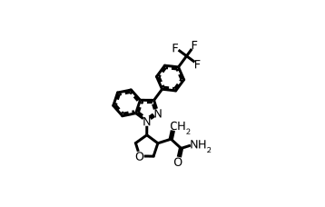 C=C(C(N)=O)C1COCC1n1nc(-c2ccc(C(F)(F)F)cc2)c2ccccc21